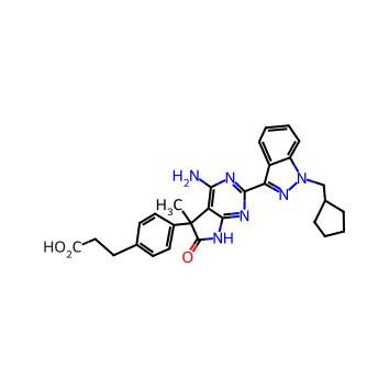 CC1(c2ccc(CCC(=O)O)cc2)C(=O)Nc2nc(-c3nn(CC4CCCC4)c4ccccc34)nc(N)c21